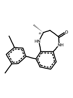 Cc1cc(C)cc(-c2cccc3c2N[C@H](C)CC(=O)N3)c1